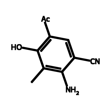 CC(=O)c1cc(C#N)c(N)c(C)c1O